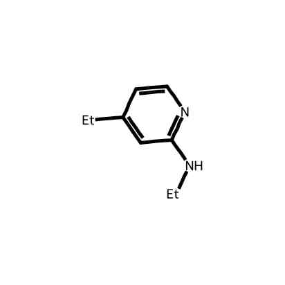 CCNc1cc(CC)ccn1